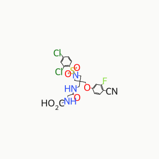 N#Cc1ccc(OCC2(CNC(=O)CNC(=O)O)CN(S(=O)(=O)c3ccc(Cl)cc3Cl)C2)cc1F